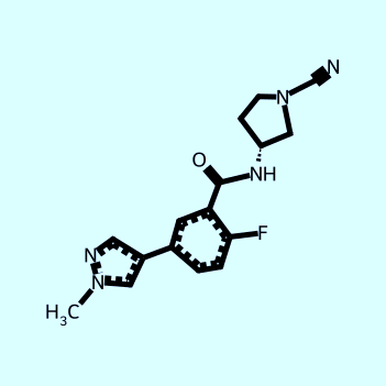 Cn1cc(-c2ccc(F)c(C(=O)N[C@@H]3CCN(C#N)C3)c2)cn1